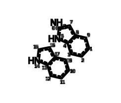 N.c1ccc2[nH]ccc2c1.c1ccc2[nH]ccc2c1